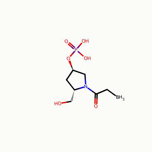 BCC(=O)N1C[C@H](OP(=O)(O)O)C[C@H]1CO